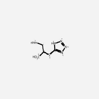 CCCCCCCC(Sc1nnn[nH]1)C(=O)O